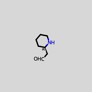 O=CC[C@H]1CCCCN1